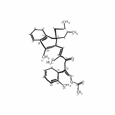 CCCC1(CCC)C(/C=C(\C)C(=O)/C(=N/OC(C)=O)C2CC=CC=C2C)=C(C)C2=C1CCC=C2